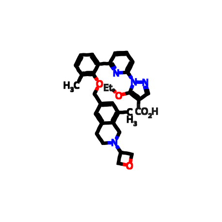 CCOc1c(C(=O)O)cnn1-c1cccc(-c2cccc(C)c2OCc2cc(C)c3c(c2)CCN(C2COC2)C3)n1